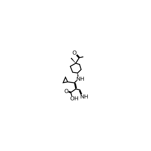 CC(=O)[C@]1(C)CC[C@@H](N/C(=C(\C=N)C(=O)O)C2CC2)CC1